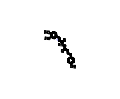 O=C(/C=C/c1ccc(O)c(O)c1)NOC(=O)CCCc1ccc(O)cc1